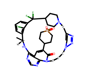 C[C@H]1Nc2ncnc3c2cc(C2CCS(=O)(=O)CC2)c(=O)n3CCCn2cc(nn2)CN2CCC(CC2)C(F)(F)c2cccc1c2F